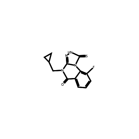 O=c1c2cccc(F)c2n2c(=S)[nH]nc2n1CC1CC1